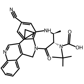 C[C@@H]1Nc2cc(C#N)ccc2N(Cc2c(C3CC3)cnc3ccccc23)C(=O)[C@H]1N(C(=O)O)C(C)(C)C